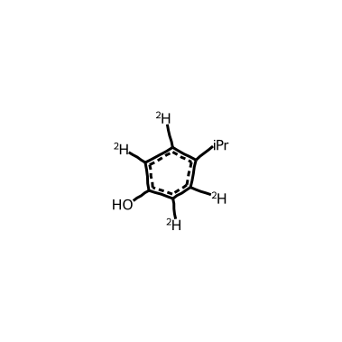 [2H]c1c([2H])c(C(C)C)c([2H])c([2H])c1O